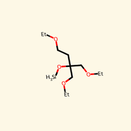 CCOCCC(COCC)(COCC)O[SiH3]